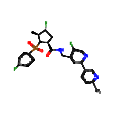 C[C@@H]1C(S(=O)(=O)c2ccc(F)cc2)[C@H](C(=O)NCc2cc(-c3ccc(C(F)(F)F)nc3)ncc2F)C[C@H]1F